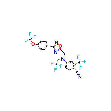 N#Cc1ccc(N(Cc2nc(-c3ccc(OC(F)(F)F)cc3)no2)CC(F)(F)F)cc1C(F)(F)F